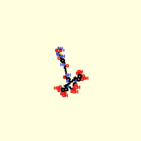 CC1(C)C(=CC=C(/C=C/C2N(CCCS(=O)(=O)O)c3ccc4c(S(=O)(=O)O)cc(S(=O)(=O)O)cc4c3C2(C)C)c2ccc(C(=O)NCCCCCC(=O)NCc3ccc(C(=O)Nc4nnc(S(N)(=O)=O)s4)cc3)cn2)N(CCCS(=O)(=O)O)c2ccc3c(S(=O)(=O)O)cc(S(=O)(=O)O)cc3c21